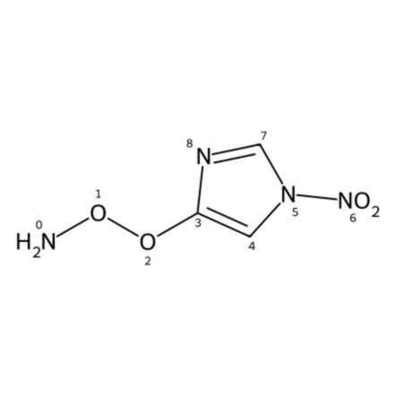 NOOc1cn([N+](=O)[O-])cn1